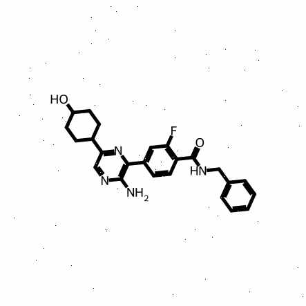 Nc1ncc(C2CCC(O)CC2)nc1-c1ccc(C(=O)NCc2ccccc2)c(F)c1